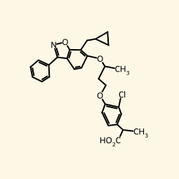 CC(CCOc1ccc(C(C)C(=O)O)cc1Cl)Oc1ccc2c(-c3ccccc3)noc2c1CC1CC1